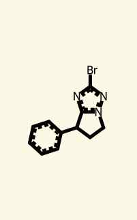 Brc1nc2n(n1)CCC2c1ccccc1